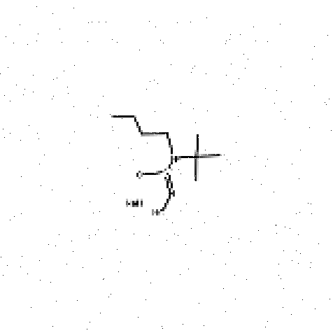 CCCCN([N+]([O-])=NO)C(C)(C)C.[NaH]